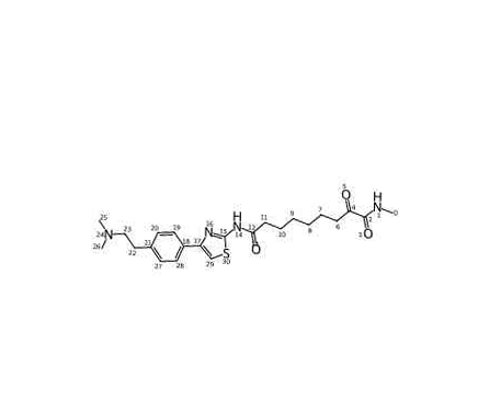 CNC(=O)C(=O)CCCCCCC(=O)Nc1nc(-c2ccc(CCN(C)C)cc2)cs1